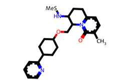 CSNC1CCc2ccc(C)c(=O)n2C1COC1CCC(c2ccccn2)CC1